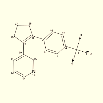 FC(F)(F)c1ccc(C2=C(c3cccnc3)CCC2)cc1